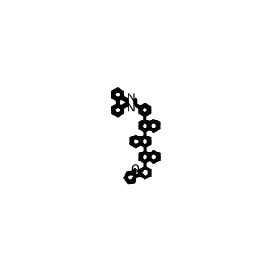 C1=c2c(oc3ccccc23)=C(c2ccc(-c3ccc(-c4ccc(-c5cccc(-c6cnc7c8ccccc8c8ccccc8c7n6)c5)c5ccccc45)c4ccccc34)c3ccccc23)CC1